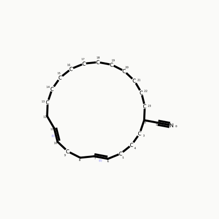 N#CC1CCC/C=C/CC/C=C/CCCCCCCCCCCC1